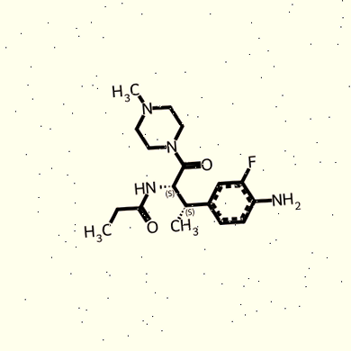 CCC(=O)N[C@H](C(=O)N1CCN(C)CC1)[C@@H](C)c1ccc(N)c(F)c1